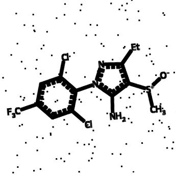 CCc1nn(-c2c(Cl)cc(C(F)(F)F)cc2Cl)c(N)c1[S+](C)[O-]